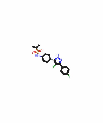 CC(C)S(=O)(=O)N[C@H]1CC[C@H](c2[nH]nc(-c3ccc(F)cc3)c2F)CC1